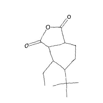 CCC1C2C(=O)OC(=O)C2CCC1C(C)(C)C